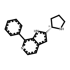 c1ccc(-c2nccc3cc([C@@H]4CCCN4)[nH]c23)cc1